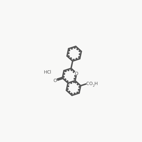 Cl.O=C(O)c1cccc2c(=O)cc(-c3ccccc3)oc12